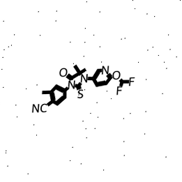 Cc1cc(N2C(=O)C(C)(C)N(c3ccc(OC(F)F)nc3)C2=S)ccc1C#N